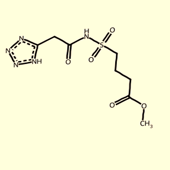 COC(=O)CCCS(=O)(=O)NC(=O)Cc1nnn[nH]1